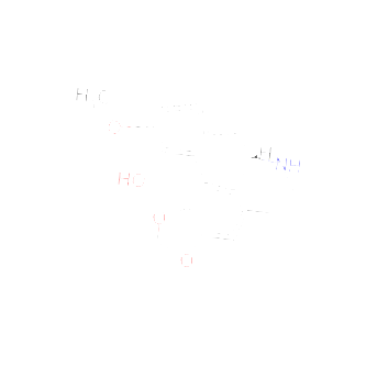 COc1ccc2c(c1O)-c1c3c(cc4c1[C@H](C2)NCC4)OCO3